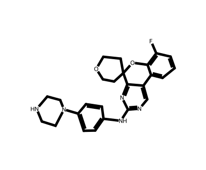 Fc1cccc2c1OC1(CCOCC1)c1nc(Nc3ccc(N4CCNCC4)cc3)ncc1-2